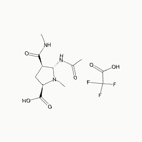 CNC(=O)[C@@H]1C[C@H](C(=O)O)N(C)[C@H]1NC(C)=O.O=C(O)C(F)(F)F